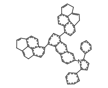 C1=Cc2ccc3c(-c4ccc(-c5ccc6c7c8c(ccc57)C=CCC8=CC6)c5cc6cc(-n7c(-c8ccccc8)ccc7-c7ccccc7)ccc6cc45)ccc4c3c2C(=CC4)C1